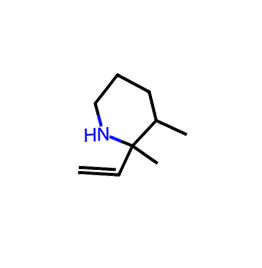 C=CC1(C)NCCCC1C